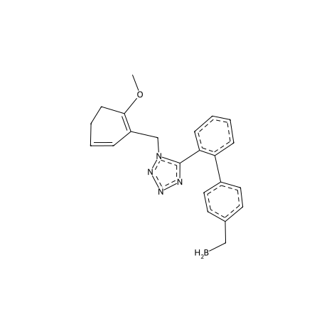 BCc1ccc(-c2ccccc2-c2nnnn2CC2=C(OC)CCC=C2)cc1